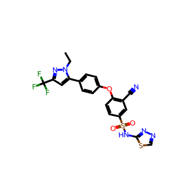 CCn1nc(C(F)(F)F)cc1-c1ccc(Oc2ccc(S(=O)(=O)Nc3nncs3)cc2C#N)cc1